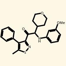 COc1cccc(NC(C(=O)c2nsc(C)c2-c2ccccc2)C2CCOCC2)c1